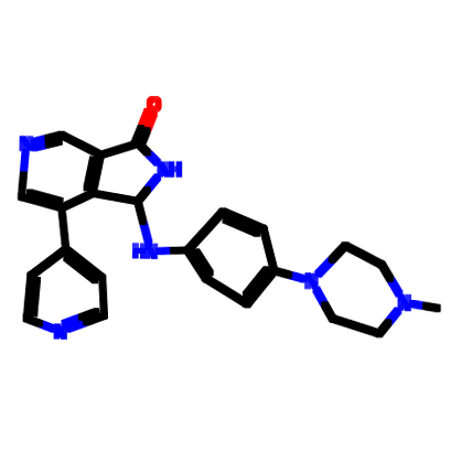 CN1CCN(c2ccc(NC3NC(=O)c4cncc(-c5ccncc5)c43)cc2)CC1